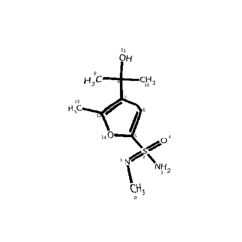 CN=S(N)(=O)c1cc(C(C)(C)O)c(C)o1